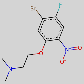 CN(C)CCOc1cc(Br)c(F)cc1[N+](=O)[O-]